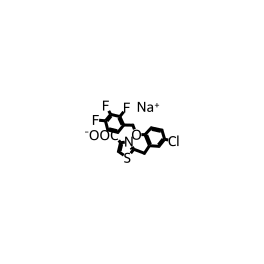 O=C([O-])c1csc(Cc2cc(Cl)ccc2OCc2ccc(F)c(F)c2F)n1.[Na+]